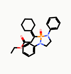 CCOC(=O)CC(=C1CCCCC1)P1(=O)N(c2ccccc2)CCN1c1ccccc1